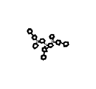 c1ccc(-c2ccc(N(c3ccccc3)c3cccc(-n4c5ccc(-c6ccccc6)cc5c5ccc(N(c6ccccc6)c6ccc(-c7ccccc7)cc6)cc54)c3)cc2)cc1